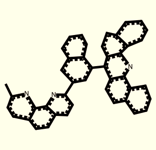 Cc1ccc2ccc3ccc(-c4cc(-c5c6ccc7ccccc7c6nc6c5ccc5ccccc56)c5ccccc5c4)nc3c2n1